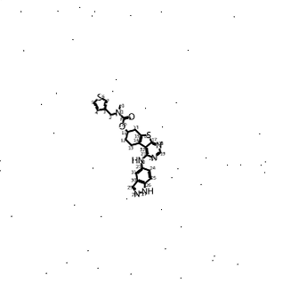 CN(Cc1ccsc1)C(=O)OC1CCc2c(sc3ncnc(Nc4ccc5[nH]ncc5c4)c23)C1